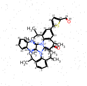 CC(C)c1cccc(C(C)C)c1N1/C(=C/C=O)N(c2c(C(C)C)cc(-c3ccc(C=O)s3)cc2C(C)C)c2nc3ccccc3nc21